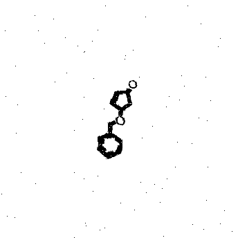 O=C1C=CC(OCc2ccccc2)C1